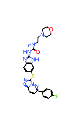 O=C(NCCN1CCOCC1)Nc1nc2ccc(Sc3nnc4ccc(-c5ccc(F)cc5)nn34)cc2[nH]1